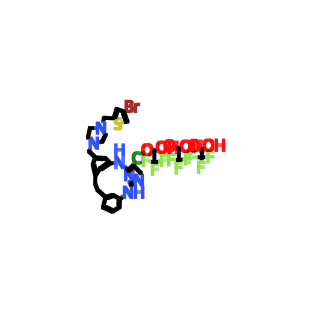 Clc1cnc2nc1Nc1cc(cc(CN3CCN(Cc4cc(Br)cs4)CC3)c1)CCc1cccc(c1)N2.O=C(O)C(F)(F)F.O=C(O)C(F)(F)F.O=C(O)C(F)(F)F